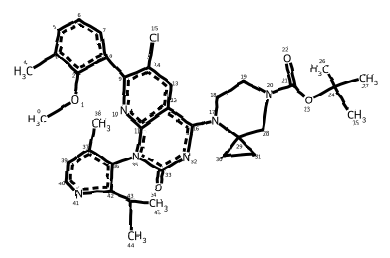 COc1c(C)cccc1-c1nc2c(cc1Cl)c(N1CCN(C(=O)OC(C)(C)C)CC13CC3)nc(=O)n2-c1c(C)ccnc1C(C)C